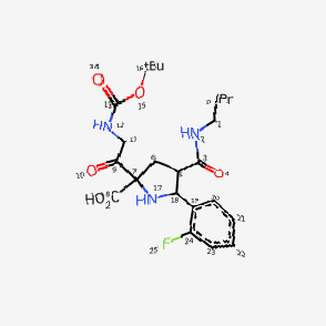 CC(C)CNC(=O)C1CC(C(=O)O)(C(=O)CNC(=O)OC(C)(C)C)NC1c1ccccc1F